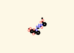 CCOC(=O)c1ccccc1NC(=O)NCCN1C(=O)C2(COc3cc4c(cc32)OCO4)c2ccccc21